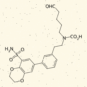 NS(=O)(=O)c1cc(-c2cccc(CCN(CCCCC=O)C(=O)O)c2)cc2c1OCCO2